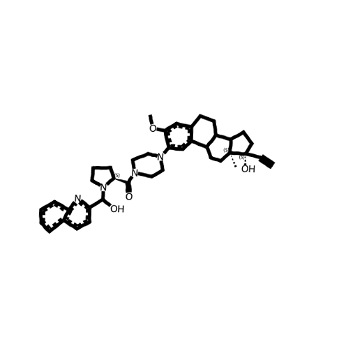 C#C[C@]1(O)CCC2C3CCc4cc(OC)c(N5CCN(C(=O)[C@@H]6CCCN6C(O)c6ccc7ccccc7n6)CC5)cc4C3CC[C@@]21C